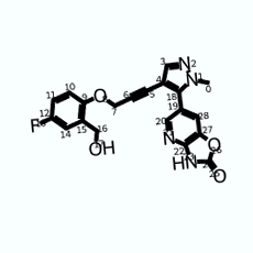 Cn1ncc(C#CCOc2ccc(F)cc2CO)c1-c1cnc2[nH]c(=O)oc2c1